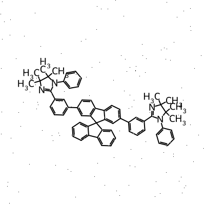 CC1(C)N=C(c2cccc(-c3ccc4c(c3)C3(c5ccccc5-c5ccccc53)c3cc(-c5cccc(C6=NC(C)(C)C(C)(C)N6c6ccccc6)c5)ccc3-4)c2)N(c2ccccc2)C1(C)C